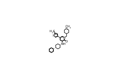 CN1CCC(Cn2cc(-c3cnn(C)c3)cc(N[C@H]3CC[C@@H](c4ccccc4)CC3)c2=O)CC1